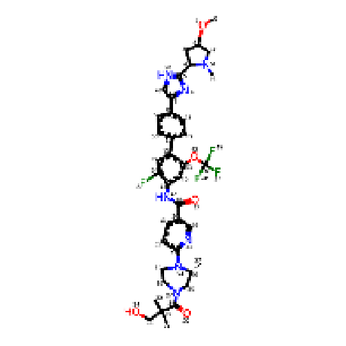 COC1CC(c2nc(-c3ccc(-c4cc(F)c(NC(=O)c5ccc(N6CCN(C(=O)C(C)(C)CO)C[C@H]6C)nc5)cc4OC(F)(F)F)cc3)c[nH]2)N(C)C1